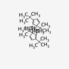 CC(C)(C)C1=C[C](C(C)(C)C)([Ti]([CH3])([CH3])[C]2(C(C)(C)C)C=CC(C(C)(C)C)=C2)C=C1